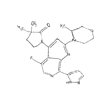 CC1COCCN1c1cc(N2CCC(C)(C)C2=O)c2c(F)cnc(-c3ccn[nH]3)c2n1